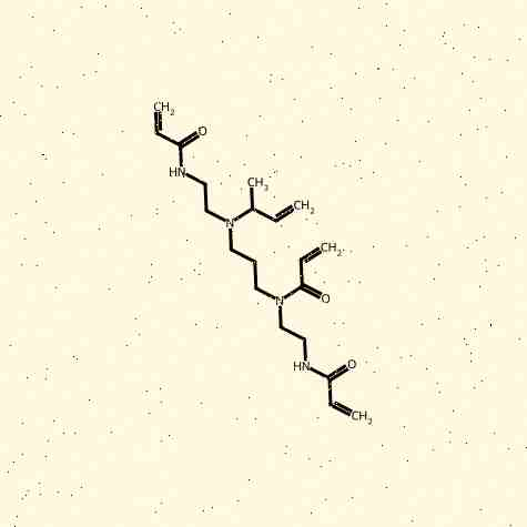 C=CC(=O)NCCN(CCCN(CCNC(=O)C=C)C(C)C=C)C(=O)C=C